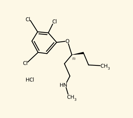 CCC[C@@H](CCNC)Oc1cc(Cl)cc(Cl)c1Cl.Cl